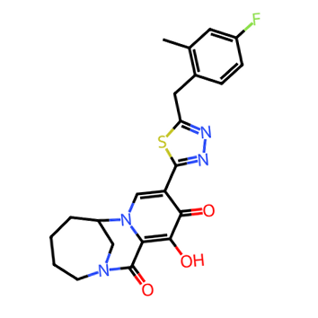 Cc1cc(F)ccc1Cc1nnc(-c2cn3c(c(O)c2=O)C(=O)N2CCCCC3C2)s1